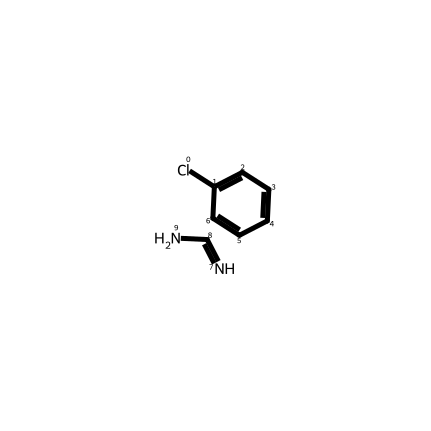 Clc1ccccc1.N=CN